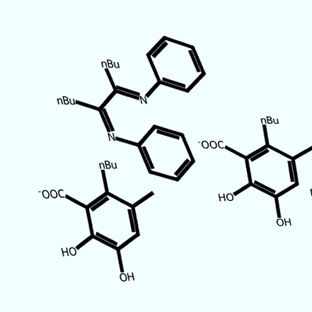 CCCCC(=Nc1ccccc1)C(CCCC)=Nc1ccccc1.CCCCc1c(C)cc(O)c(O)c1C(=O)[O-].CCCCc1c(C)cc(O)c(O)c1C(=O)[O-].[Ni+2]